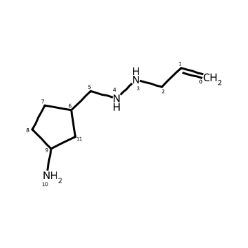 C=CCNNCC1CCC(N)C1